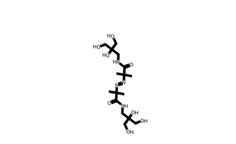 CC(C)(N=NC(C)(C)C(=O)NCC(O)(CO)CO)C(=O)NCC(O)(CO)CO